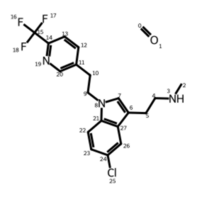 C=O.CNCCc1cn(CCc2ccc(C(F)(F)F)nc2)c2ccc(Cl)cc12